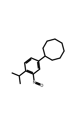 CC(C)c1ccc(C2CCCCCCC2)cc1N=O